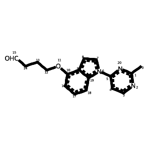 Cc1nccc(-n2ccc3c(OCCCC=O)cccc32)n1